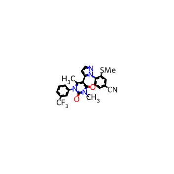 CSc1cc(C#N)ccc1-n1nccc1-c1c(C)n(-c2cccc(C(F)(F)F)c2)c(=O)n(C)c1=O